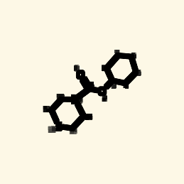 O=C(OC1CCCCC1)N1CCSCC1